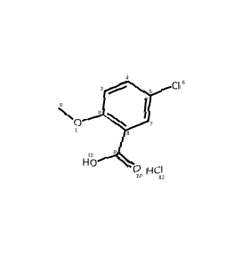 COc1ccc(Cl)cc1C(=O)O.Cl